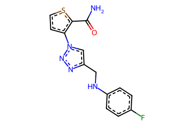 NC(=O)c1sccc1-n1cc(CNc2ccc(F)cc2)nn1